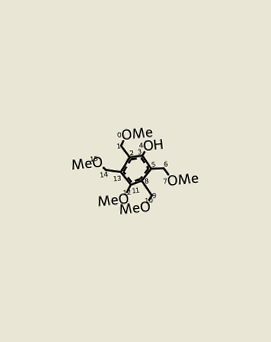 COCc1c(O)c(COC)c(COC)c(OC)c1COC